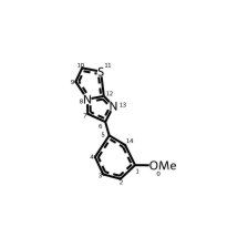 COc1cccc(-c2cn3ccsc3n2)c1